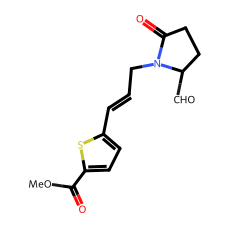 COC(=O)c1ccc(C=CCN2C(=O)CCC2C=O)s1